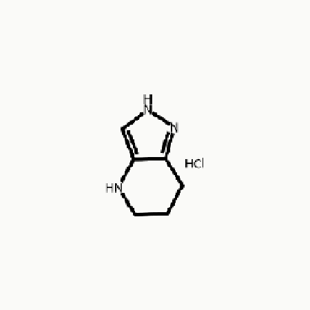 Cl.c1[nH]nc2c1NCCC2